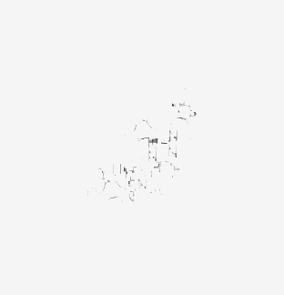 COc1ccc(S(=O)(=O)N(CC(C)C)C[C@H](O)[C@H](Cc2ccccc2)NC(=O)[C@H](C(C)C)N2CCN(Cc3csc(C)n3)C2=O)cc1OC